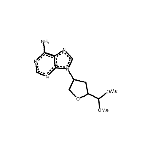 COC(OC)C1CC(n2cnc3c(N)ncnc32)CO1